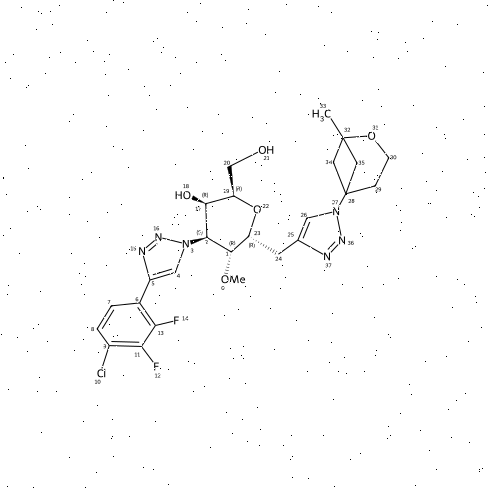 CO[C@@H]1[C@@H](n2cc(-c3ccc(Cl)c(F)c3F)nn2)[C@@H](O)[C@@H](CO)O[C@@H]1Cc1cn(C23CCOC(C)(C2)C3)nn1